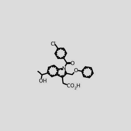 CC(O)c1ccc2c(c1)c(CC(=O)O)c(COc1ccccc1)n2C(=O)c1ccc(Cl)cc1